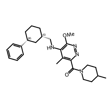 COc1nnc(C(=O)N2CCC(C)CC2)c(C)c1NC[C@H]1CCC[C@@H](c2ccccc2)C1